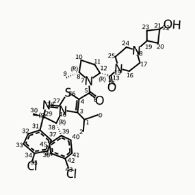 CC(C)C1=C(C(=O)N2[C@H](C)CC[C@@H]2C(=O)N2CCN(C3CC(O)C3)CC2)SC2=N[C@@](C)(c3ccc(Cl)cc3)[C@@H](c3ccc(Cl)cc3)N21